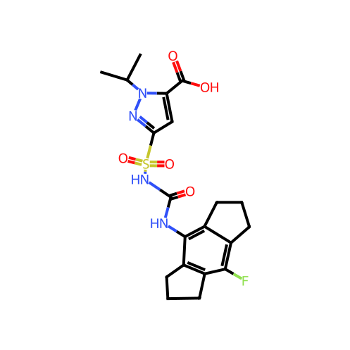 CC(C)n1nc(S(=O)(=O)NC(=O)Nc2c3c(c(F)c4c2CCC4)CCC3)cc1C(=O)O